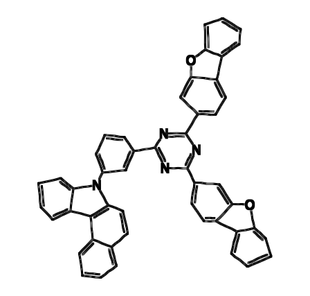 c1cc(-c2nc(-c3ccc4c(c3)oc3ccccc34)nc(-c3ccc4c(c3)oc3ccccc34)n2)cc(-n2c3ccccc3c3c4ccccc4ccc32)c1